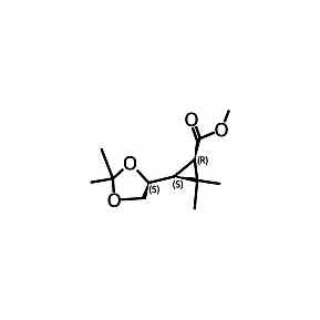 COC(=O)[C@@H]1[C@H]([C@H]2COC(C)(C)O2)C1(C)C